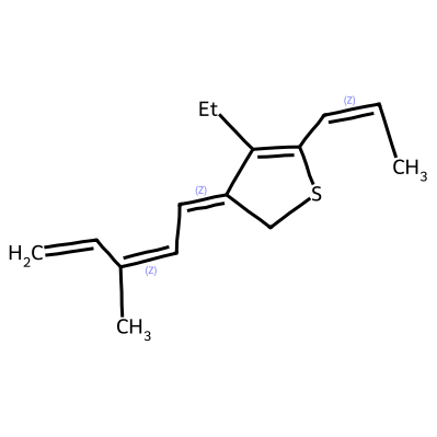 C=C/C(C)=C\C=C1/CSC(/C=C\C)=C1CC